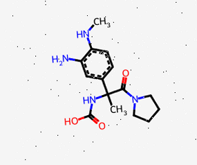 CNc1ccc(C(C)(NC(=O)O)C(=O)N2CCCC2)cc1N